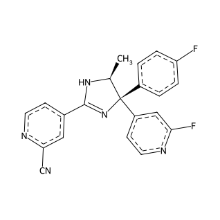 C[C@@H]1NC(c2ccnc(C#N)c2)=N[C@@]1(c1ccc(F)cc1)c1ccnc(F)c1